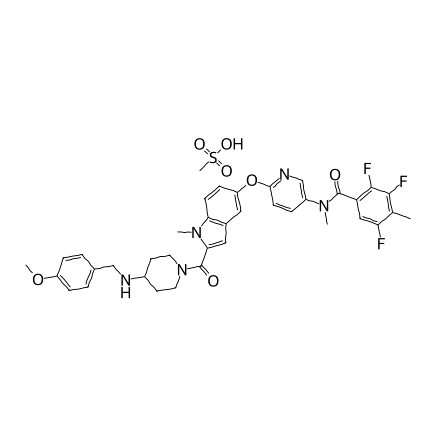 COc1ccc(CNC2CCN(C(=O)c3cc4cc(Oc5ccc(N(C)C(=O)c6cc(F)c(C)c(F)c6F)cn5)ccc4n3C)CC2)cc1.CS(=O)(=O)O